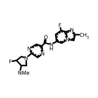 CNC1CN(c2cnc(C(=O)Nc3cc(F)c4nc(C)cn4c3)cn2)CC1F